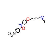 C=CCN(C)CCCCCCO[C@H]1CC[C@H](N(C)C(=O)c2ccc([N+](=O)[O-])cc2)CC1